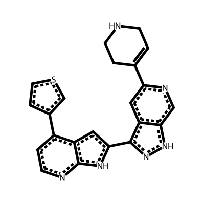 C1=C(c2cc3c(-c4cc5c(-c6ccsc6)ccnc5[nH]4)n[nH]c3cn2)CCNC1